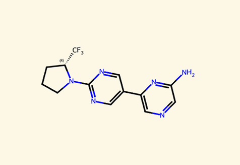 Nc1cncc(-c2cnc(N3CCC[C@@H]3C(F)(F)F)nc2)n1